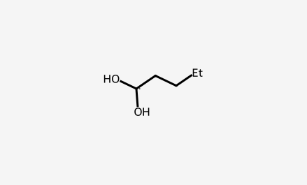 CCCC[C](O)O